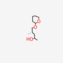 CC(O)C[C@H](C)COC1CCCCO1